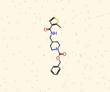 Cc1sccc1C(=O)NCC1CCN(C(=O)OCc2ccccc2)CC1